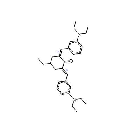 CCC1C/C(=C/c2cccc(N(CC)CC)c2)C(=O)/C(=C/c2cccc(N(CC)CC)c2)C1